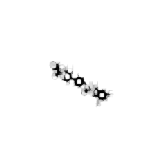 O=C(Nc1ccc(C2CCN(C(=O)C3(O)COC3)CC2)cc1)N1Cc2cc(F)cc(F)c2C1